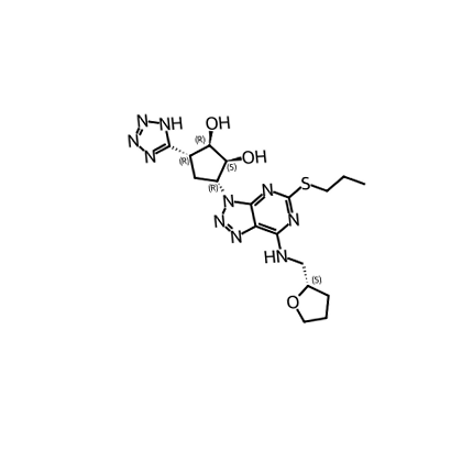 CCCSc1nc(NC[C@@H]2CCCO2)c2nnn([C@@H]3C[C@H](c4nnn[nH]4)[C@@H](O)[C@H]3O)c2n1